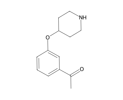 CC(=O)c1cccc(OC2CCNCC2)c1